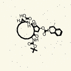 C[C@H]1CN(C(=O)O[C@H]2CC3C(=O)[C@@H](NC(=O)OC(C)(C)C)CCCCCCC[C@@H]4C[C@@]4(C(=O)O)NC(=O)[C@@H]3C2)Cc2ccccc21